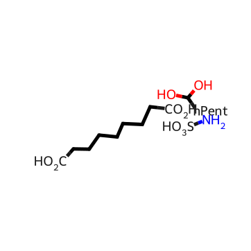 CCCCCC(O)O.NS(=O)(=O)O.O=C(O)CCCCCCCC(=O)O